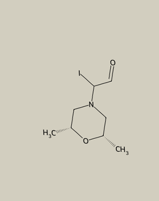 C[C@@H]1CN(C(I)C=O)C[C@H](C)O1